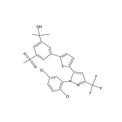 CC(C)(O)c1cc(-c2ccc(-c3cc(C(F)(F)F)nn3-c3cc(Cl)ccc3Cl)s2)cc(S(C)(=O)=O)c1